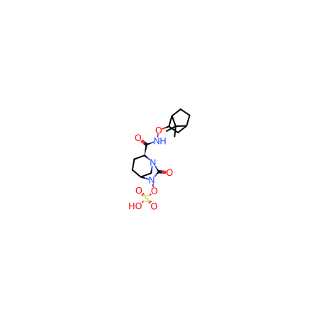 CC1(C)C2CCC1C(ONC(=O)[C@@H]1CCC3CN1C(=O)N3OS(=O)(=O)O)C2